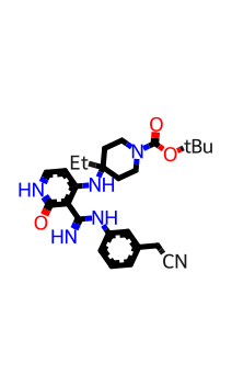 CCC1(Nc2cc[nH]c(=O)c2C(=N)Nc2cccc(CC#N)c2)CCN(C(=O)OC(C)(C)C)CC1